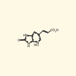 Cl.O=C(O)/C=C/c1cnc2[nH]c(=O)[nH]c2c1